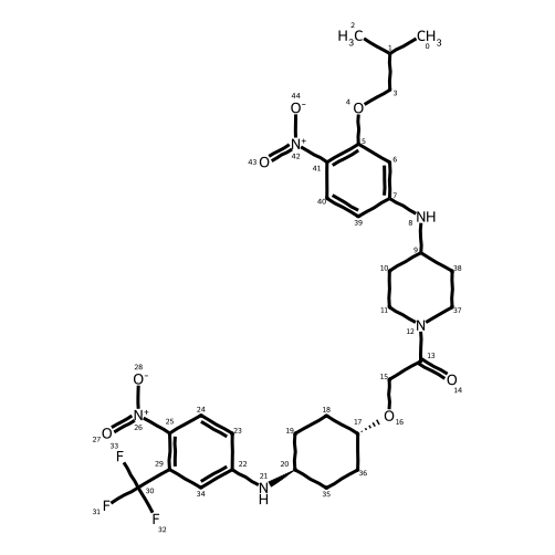 CC(C)COc1cc(NC2CCN(C(=O)CO[C@H]3CC[C@H](Nc4ccc([N+](=O)[O-])c(C(F)(F)F)c4)CC3)CC2)ccc1[N+](=O)[O-]